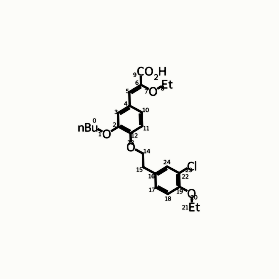 CCCCOc1cc(C=C(OCC)C(=O)O)ccc1OCCc1ccc(OCC)c(Cl)c1